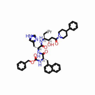 CC(C)C[C@H](NC(=O)[C@@H](Cc1c[nH]cn1)NC(=O)[C@H](Cc1cccc2ccccc12)NC(=O)OCc1ccccc1)[C@@H](O)CC(=O)N1CCC(c2ccccc2)CC1